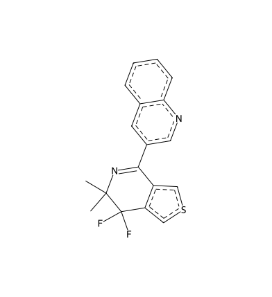 CC1(C)N=C(c2cnc3ccccc3c2)c2cscc2C1(F)F